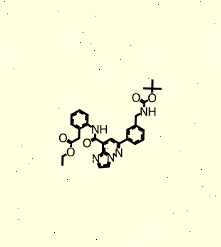 CCOC(=O)Cc1ccccc1NC(=O)c1cc(-c2cccc(CNC(=O)OC(C)(C)C)c2)nn2ccnc12